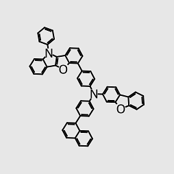 c1ccc(-n2c3ccccc3c3oc4c(-c5ccc(N(c6ccc(-c7cccc8ccccc78)cc6)c6ccc7c(c6)oc6ccccc67)cc5)cccc4c32)cc1